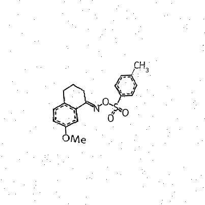 COc1ccc2c(c1)C(=NOS(=O)(=O)c1ccc(C)cc1)CCC2